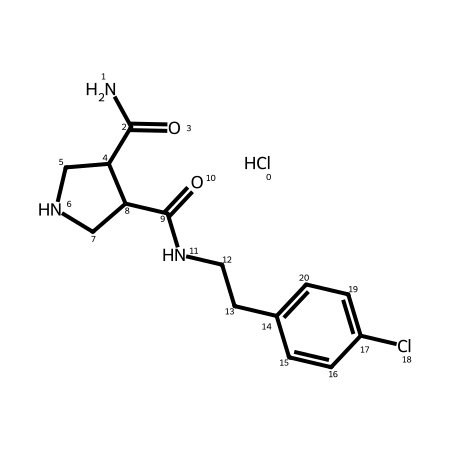 Cl.NC(=O)C1CNCC1C(=O)NCCc1ccc(Cl)cc1